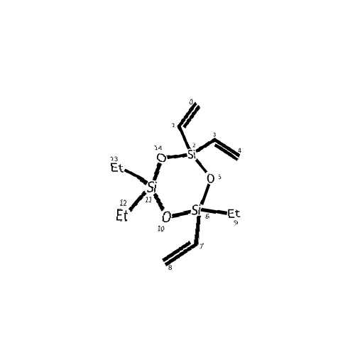 C=C[Si]1(C=C)O[Si](C=C)(CC)O[Si](CC)(CC)O1